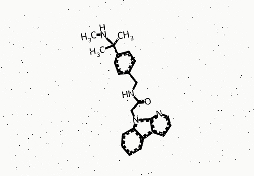 CNC(C)(C)c1ccc(CNC(=O)Cn2c3ccccc3c3cccnc32)cc1